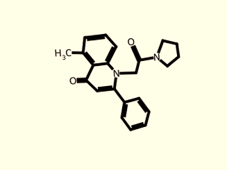 Cc1cccc2c1c(=O)cc(-c1ccccc1)n2CC(=O)N1CCCC1